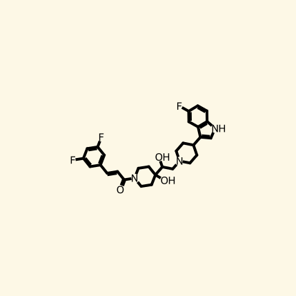 O=C(/C=C/c1cc(F)cc(F)c1)N1CCC(O)(C(O)CN2CCC(c3c[nH]c4ccc(F)cc34)CC2)CC1